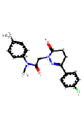 CN(C(=O)CN1N=C(c2ccc(Cl)cc2)CCC1=O)c1ccc(C(=O)O)cc1